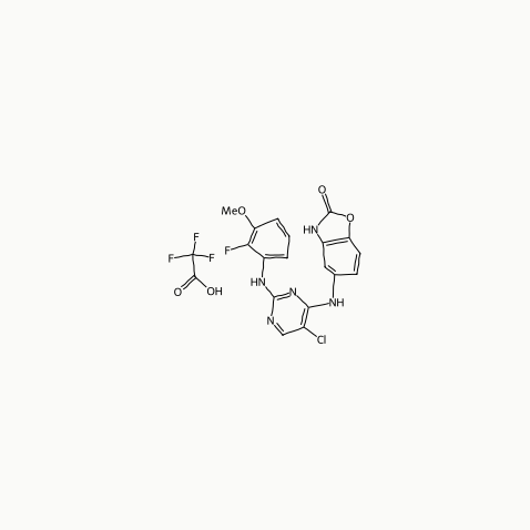 COc1cccc(Nc2ncc(Cl)c(Nc3ccc4oc(=O)[nH]c4c3)n2)c1F.O=C(O)C(F)(F)F